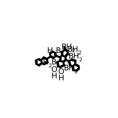 Bc1c(B)c(B)c2c(-c3ccc4ccccc4c3)c3c(B)c(O)c(O)c(B)c3c(-c3cccc(-c4ccc5ccccc5c4)c3)c2c1B